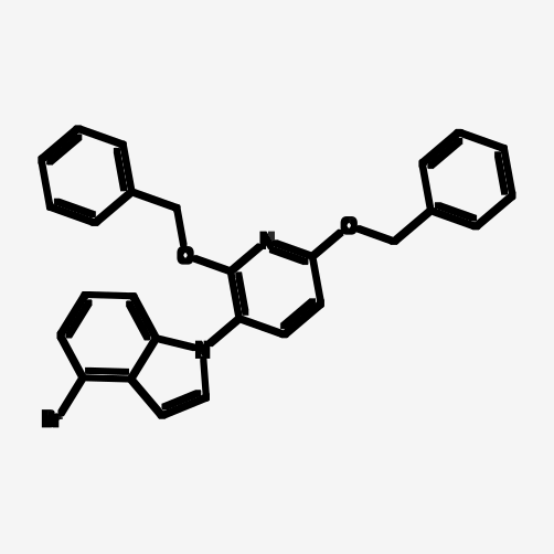 Brc1cccc2c1ccn2-c1ccc(OCc2ccccc2)nc1OCc1ccccc1